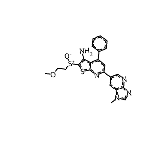 COCC[S+]([O-])c1sc2nc(-c3cnc4ncn(C)c4c3)cc(-c3ccccc3)c2c1N